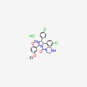 CCOc1ccc(OCC)c(C2=NC(c3ccc(Cl)cc3)C(c3ccc(Cl)cc3)N2C(=O)N2CCNCC2)c1.Cl